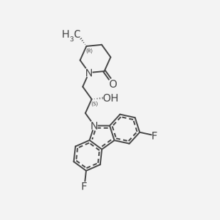 C[C@@H]1CCC(=O)N(C[C@H](O)Cn2c3ccc(F)cc3c3cc(F)ccc32)C1